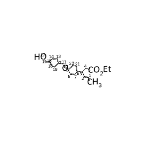 CC=CC(CC(=O)OCC)c1ccc(OCc2ccc(CO)cc2)cc1